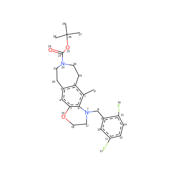 Cc1c2c(cc3c1N(Cc1cc(F)ccc1F)CCO3)CCN(C(=O)OC(C)(C)C)CC2